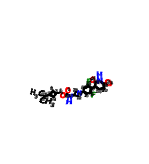 CC(C)C1CC(COC(=O)NC2CN(c3cc(F)c(C4CCC(=O)NC4=O)c(F)c3)C2)C1